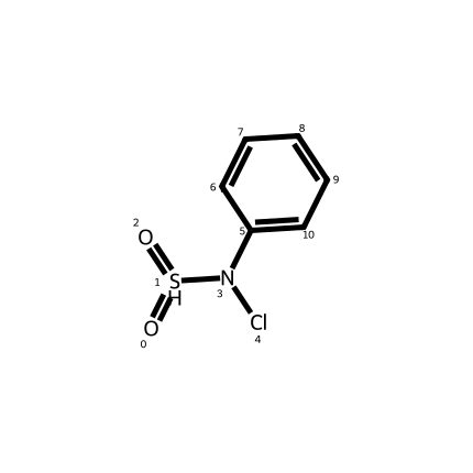 O=[SH](=O)N(Cl)c1[c]cccc1